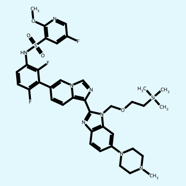 COc1ncc(F)cc1S(=O)(=O)Nc1ccc(F)c(-c2ccc3c(-c4nc5ccc(N6CCN(C)CC6)cc5n4COCC[Si](C)(C)C)ncn3c2)c1F